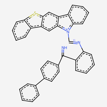 N=C(c1ccc(-c2ccccc2)cc1)c1ccccc1/N=C/n1c2ccccc2c2cc3sc4ccccc4c3cc21